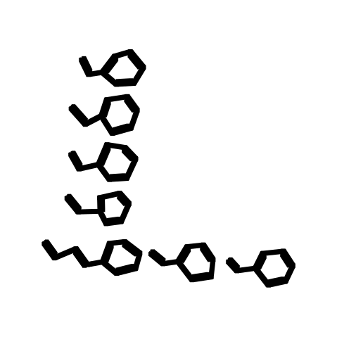 C=CC=Cc1ccccc1.C=Cc1ccccc1.C=Cc1ccccc1.C=Cc1ccccc1.C=Cc1ccccc1.C=Cc1ccccc1.C=Cc1ccccc1